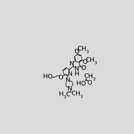 CC(=O)O.COc1cc(OC)c2c(=O)[nH]c(-c3ccc(OCCO)c(N4CCN(C(C)C)CC4)n3)nc2c1